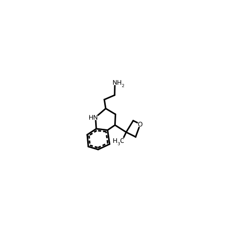 CC1(C2CC(CCN)Nc3ccccc32)COC1